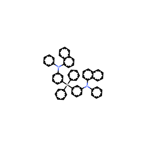 c1ccc(N(c2cccc([Si](c3ccccc3)(c3ccccc3)c3cccc(N(c4ccccc4)c4cccc5ccccc45)c3)c2)c2cccc3ccccc23)cc1